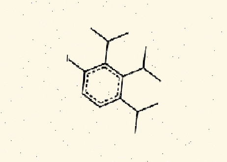 CC(C)c1ccc(I)c(C(C)C)c1C(C)C